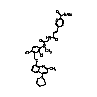 CNC(=O)c1ccc(/C=C/C(=O)NCC(=O)N(C)c2ccc(Cl)c(COc3cccc4c(N5CCCCC5)cc(C)nc34)c2Cl)cn1